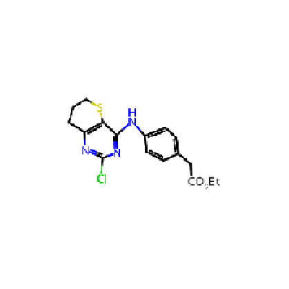 CCOC(=O)Cc1ccc(Nc2nc(Cl)nc3c2SCCC3)cc1